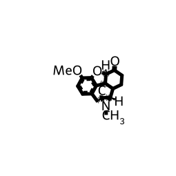 COc1ccc2c3c1O[C@H]1C(=O)CCC4[C@@H]5N(C)[C@]5(C2)C[C@@]341